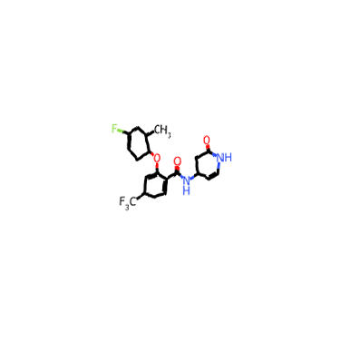 CC1CC(F)=CCC1OC1=CC(C(F)(F)F)CC=C1C(=O)NC1C=CNC(=O)C1